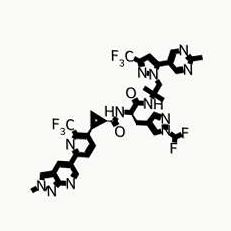 Cc1ncc(-c2cc(C(F)(F)F)nn2CC(C)(C)NC(=O)[C@@H](Cc2cnn(C(F)F)c2)NC(=O)[C@H]2C[C@@H]2c2ccc(-c3cnc4nn(C)cc4c3)nc2C(F)(F)F)cn1